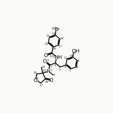 CN(C(=O)C(Cc1cccc(O)c1)NC(=O)c1ccc(Br)cc1)C1(C)COCC1=O